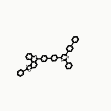 c1ccc(-c2ccc(-c3cc(-c4ccc(-c5ccc(-c6nc7ccccc7c7c6ccc6oc(-c8ccccc8)nc67)cc5)cc4)nc(-c4ccccc4)n3)cc2)cc1